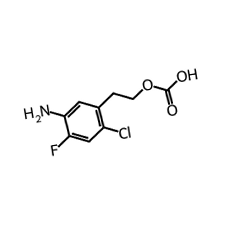 Nc1cc(CCOC(=O)O)c(Cl)cc1F